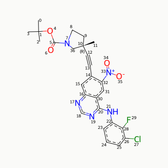 CC(C)(C)OC(=O)N1CC[C@](C)(C#Cc2cc3ncnc(Nc4cccc(Cl)c4F)c3cc2[N+](=O)[O-])C1